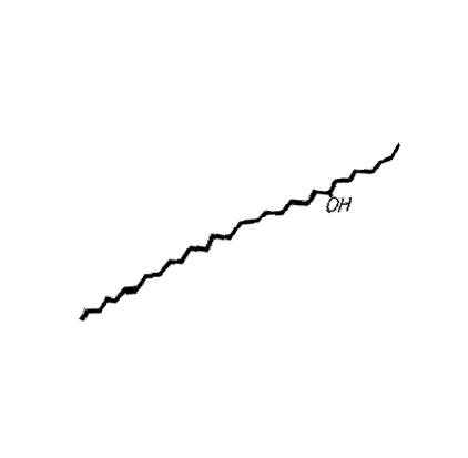 CCCCCC=CCCCCCCCCCCCCCCCC(O)CCCCCCC